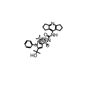 CC(C)(O)c1cc(S(=O)(=NC(=O)Nc2c3c(nc4c2CCC4)CCC3)N[Si](C)(C)C(C)(C)C)nn1-c1ccccc1